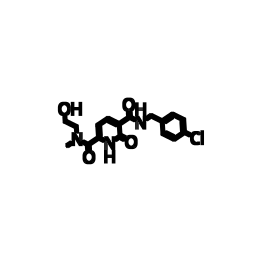 CN(CCO)C(=O)c1ccc(C(=O)NCc2ccc(Cl)cc2)c(=O)[nH]1